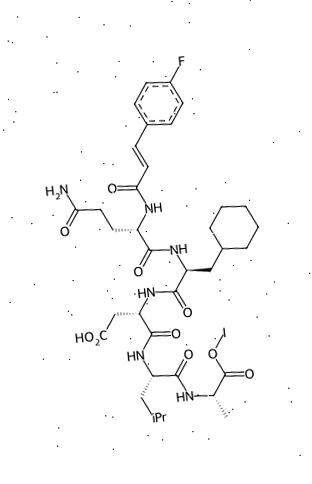 CC(C)C[C@H](NC(=O)[C@H](CC(=O)O)NC(=O)[C@H](CC1CCCCC1)NC(=O)[C@H](CCC(N)=O)NC(=O)/C=C/c1ccc(F)cc1)C(=O)N[C@@H](C)C(=O)OI